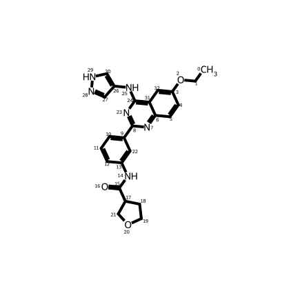 CCOc1ccc2nc(-c3cccc(NC(=O)C4CCOC4)c3)nc(Nc3cn[nH]c3)c2c1